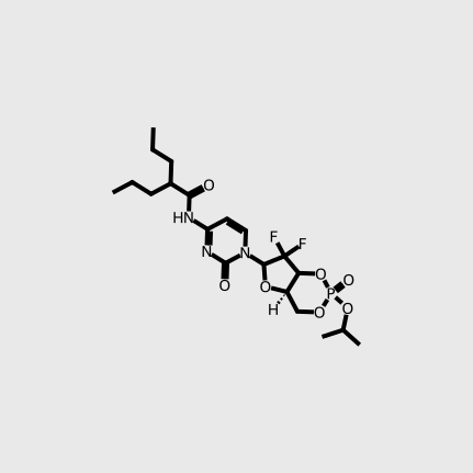 CCCC(CCC)C(=O)Nc1ccn(C2O[C@@H]3COP(=O)(OC(C)C)OC3C2(F)F)c(=O)n1